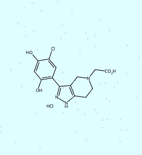 Cl.O=C(O)CN1CCc2[nH]nc(-c3cc(Cl)c(O)cc3O)c2C1